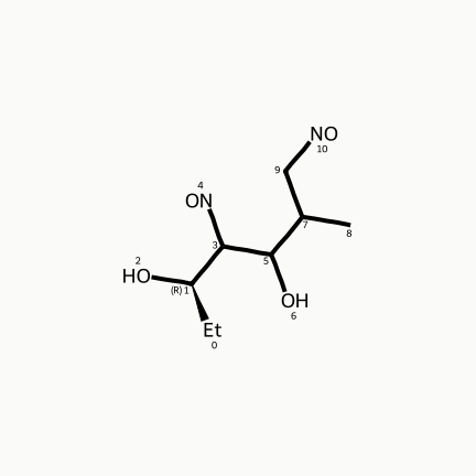 CC[C@@H](O)C(N=O)C(O)C(C)CN=O